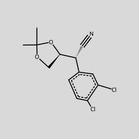 CC1(C)OC[C@H]([C@H](C#N)c2ccc(Cl)c(Cl)c2)O1